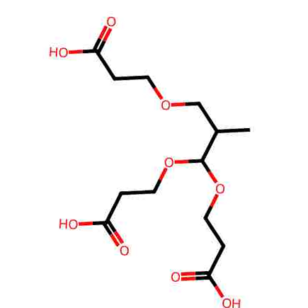 CC(COCCC(=O)O)C(OCCC(=O)O)OCCC(=O)O